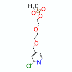 CS(=O)(=O)OCCOCCOCc1ccnc(Cl)c1